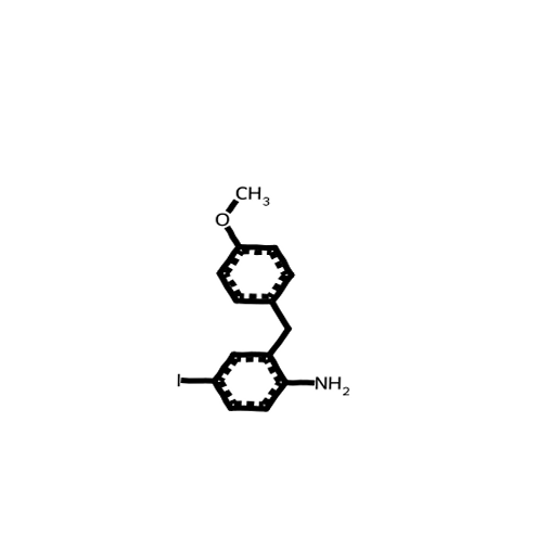 COc1ccc(Cc2cc(I)ccc2N)cc1